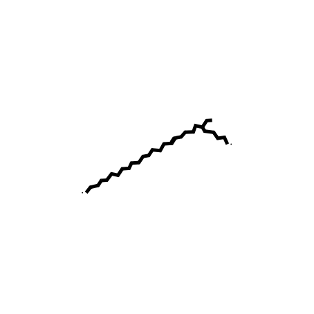 [CH2]CCCCCCCCCCCCCCCC=CCCCCC(CC)CCCC[CH2]